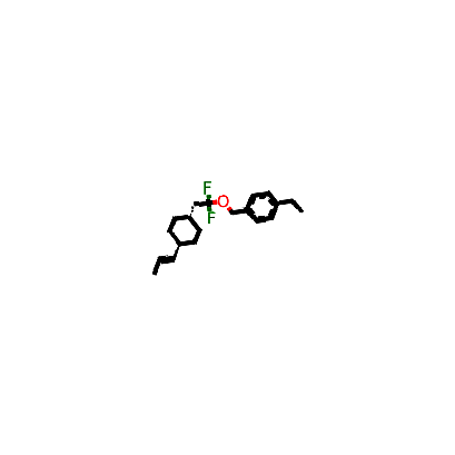 C/C=C/[C@H]1CC[C@H](CC(F)(F)OCc2ccc(CC)cc2)CC1